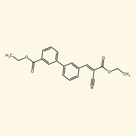 CCOC(=O)/C(C#N)=C/c1cccc(-c2cccc(C(=O)OCC)c2)c1